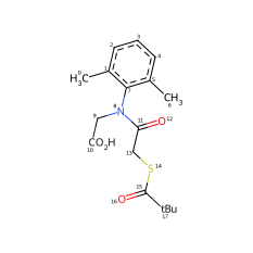 Cc1cccc(C)c1N(CC(=O)O)C(=O)CSC(=O)C(C)(C)C